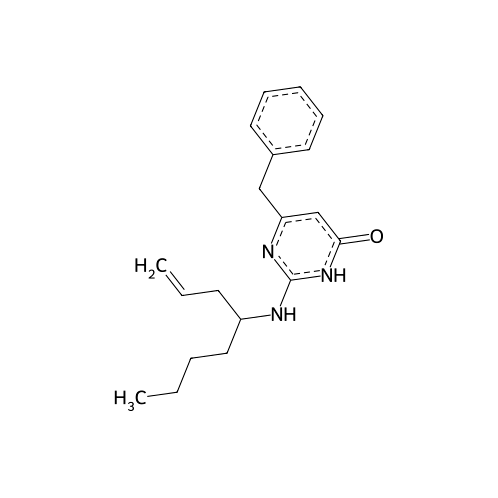 C=CCC(CCCC)Nc1nc(Cc2ccccc2)cc(=O)[nH]1